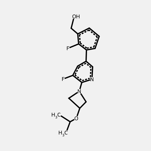 CC(C)OC1CN(c2ncc(-c3cccc(CO)c3F)cc2F)C1